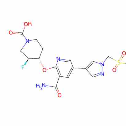 CS(=O)(=O)Cn1cc(-c2cnc(O[C@H]3CCN(C(=O)O)C[C@@H]3F)c(C(N)=O)c2)cn1